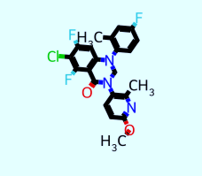 COc1ccc(N2CN(c3ccc(F)cc3C)c3cc(F)c(Cl)c(F)c3C2=O)c(C)n1